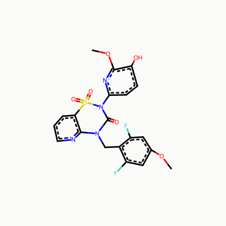 COc1cc(F)c(CN2C(=O)N(c3ccc(O)c(OC)n3)S(=O)(=O)c3cccnc32)c(F)c1